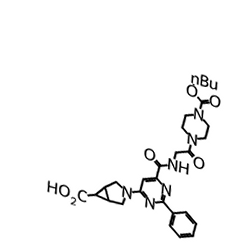 CCCCOC(=O)N1CCN(C(=O)CNC(=O)c2cc(N3CC4C(C3)C4C(=O)O)nc(-c3ccccc3)n2)CC1